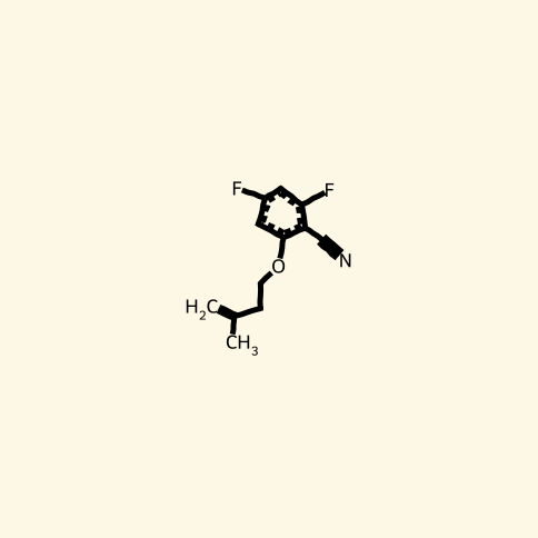 C=C(C)CCOc1cc(F)cc(F)c1C#N